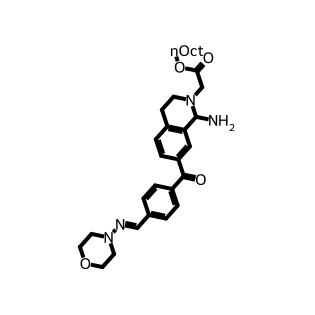 CCCCCCCCOC(=O)CN1CCc2ccc(C(=O)c3ccc(C=NN4CCOCC4)cc3)cc2C1N